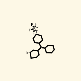 C1CCC(P(C2CCCCC2)C2CCCCC2)CC1.F[P-](F)(F)(F)(F)F.[Ir+]